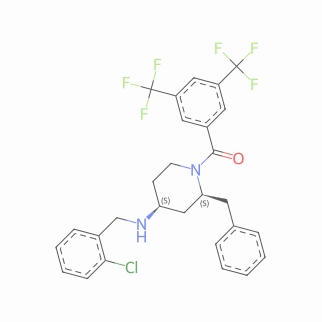 O=C(c1cc(C(F)(F)F)cc(C(F)(F)F)c1)N1CC[C@H](NCc2ccccc2Cl)C[C@@H]1Cc1ccccc1